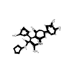 CC1=C(C(=O)OC2CCCC2)C(c2cccc(O)c2)C2=C(CC(c3ccc(Cl)c(Cl)c3)CC2=O)N1